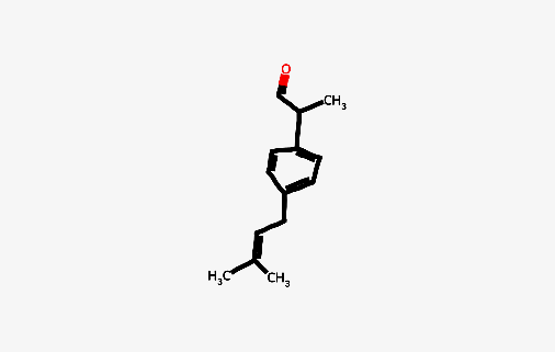 CC(C)=CCc1ccc(C(C)C=O)cc1